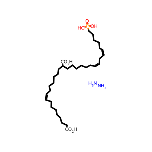 N.N.O=C(O)CCCCCCC/C=C\CCCCCCC(CCCCCC/C=C\C/C=C\CCCCCP(=O)(O)O)C(=O)O